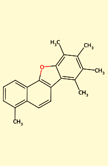 Cc1c(C)c(C)c2c(oc3c4cccc(C)c4ccc32)c1C